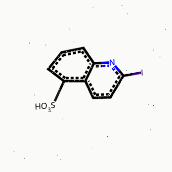 O=S(=O)(O)c1cccc2nc(I)ccc12